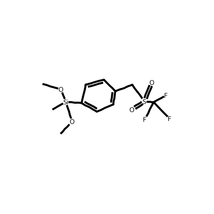 CO[Si](C)(OC)c1ccc(CS(=O)(=O)C(F)(F)F)cc1